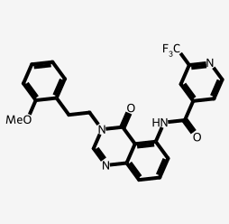 COc1ccccc1CCn1cnc2cccc(NC(=O)c3ccnc(C(F)(F)F)c3)c2c1=O